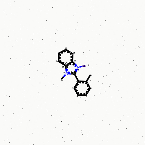 Cc1ccccc1-c1n(I)c2ccccc2[n+]1C